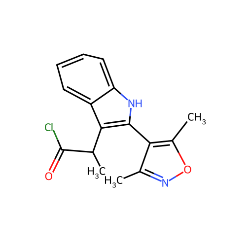 Cc1noc(C)c1-c1[nH]c2ccccc2c1C(C)C(=O)Cl